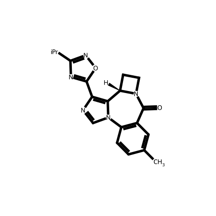 Cc1ccc2c(c1)C(=O)N1CC[C@H]1c1c(-c3nc(C(C)C)no3)ncn1-2